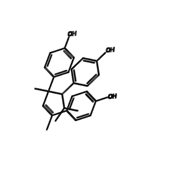 CC(=CC(C)(c1ccc(O)cc1)C(c1ccc(O)cc1)C(C)C)c1ccc(O)cc1